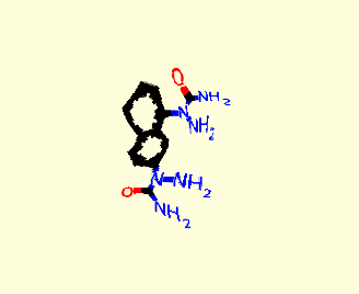 NC(=O)N(N)c1ccc2cccc(N(N)C(N)=O)c2c1